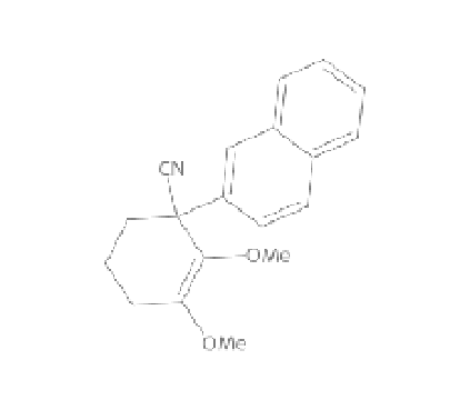 COC1=C(OC)C(C#N)(c2ccc3ccccc3c2)CCC1